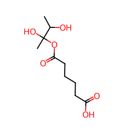 CC(O)C(C)(O)OC(=O)CCCCC(=O)O